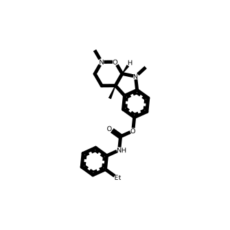 CCc1ccccc1NC(=O)Oc1ccc2c(c1)[C@]1(C)CCN(C)O[C@@H]1N2C